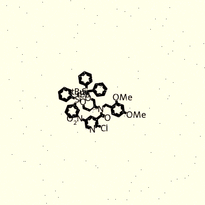 COc1ccc(CN(C(=O)c2cc([N+](=O)[O-])cnc2Cl)[C@@H](CCO[Si](c2ccccc2)(c2ccccc2)C(C)(C)C)CO[Si](c2ccccc2)(c2ccccc2)C(C)(C)C)c(OC)c1